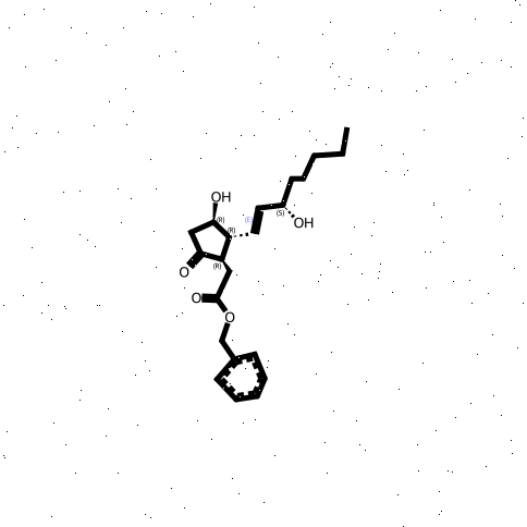 CCCCC[C@H](O)/C=C/[C@H]1[C@H](O)CC(=O)[C@@H]1CC(=O)OCc1ccccc1